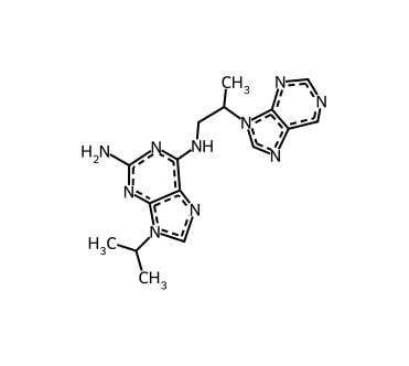 CC(C)n1cnc2c(NCC(C)n3cnc4cncnc43)nc(N)nc21